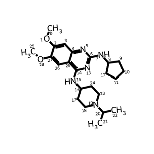 COc1cc2nc(NC3CCCC3)nc(NC3CCN(C(C)C)CC3)c2cc1OC